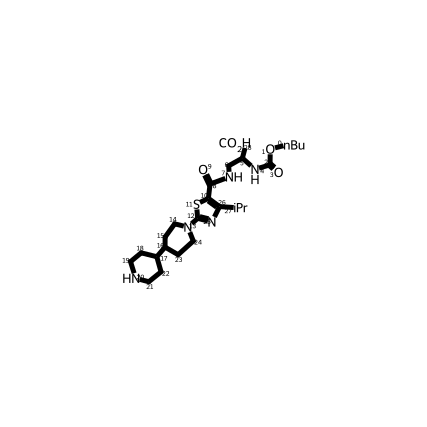 CCCCOC(=O)NC(CNC(=O)c1sc(N2CCC(C3CCNCC3)CC2)nc1C(C)C)C(=O)O